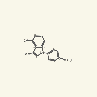 N#Cc1cn(-c2ccc(C(=O)O)cc2)c2cccc(Cl)c12